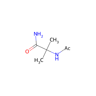 CC(=O)NC(C)(C)C(N)=O